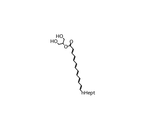 CCCCCCCC=CC=CC=CC=CC=CC=CC(=O)OC(CO)CO